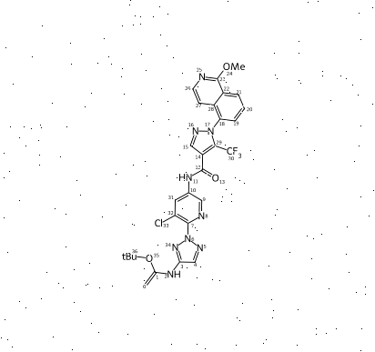 C=C(Nc1cnn(-c2ncc(NC(=O)c3cnn(-c4cccc5c(OC)nccc45)c3C(F)(F)F)cc2Cl)n1)OC(C)(C)C